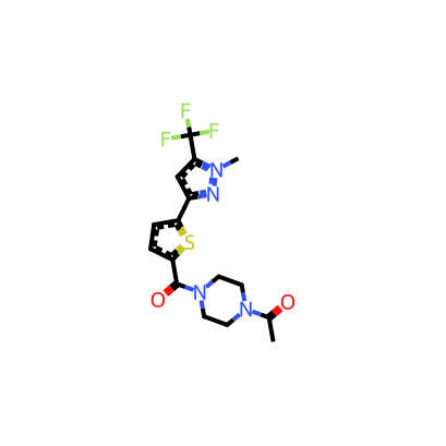 CC(=O)N1CCN(C(=O)c2ccc(-c3cc(C(F)(F)F)n(C)n3)s2)CC1